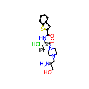 CC(C)C[C@H](NC(=O)c1cc2ccccc2s1)C(=O)N1CCN(C[C@@H](N)CO)CC1.Cl